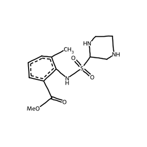 COC(=O)c1cccc(C)c1NS(=O)(=O)C1CNCCN1